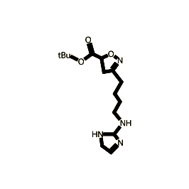 CC(C)(C)OC(=O)C1CC(CCCCNC2N=CCN2)=NO1